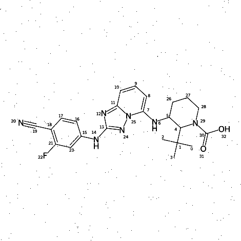 CC(C)(C)C1C(Nc2cccc3nc(Nc4ccc(C#N)c(F)c4)nn23)CCCN1C(=O)O